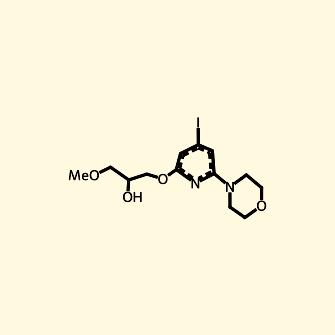 COCC(O)COc1cc(I)cc(N2CCOCC2)n1